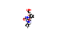 CC(=O)/C(=N/Nc1ccccc1C)C(=O)Nc1ccccc1OCCO